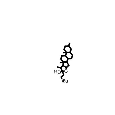 CCC(C)CCC1(O)OC2CC3C4CCC5CC(C)CCC5(C)C4CCC3(C)C2C1C